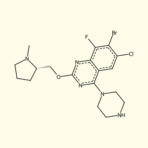 CN1CCC[C@H]1COc1nc(N2CCNCC2)c2cc(Cl)c(Br)c(F)c2n1